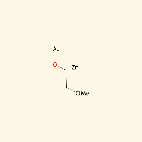 COCCOC(C)=O.[Zn]